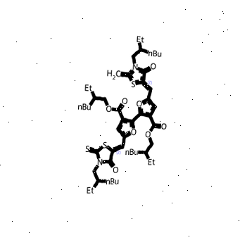 C=c1s/c(=C\c2cc(C(=O)OCC(CC)CCCC)c(-c3oc(/C=C4\SC(=S)N(CC(CC)CCCC)C4=O)cc3C(=O)OCC(CC)CCCC)o2)c(=O)n1CC(CC)CCCC